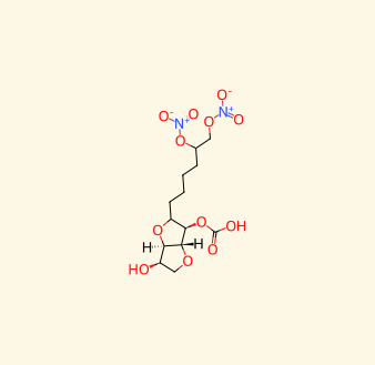 O=C(O)O[C@@H]1C(CCCCC(CO[N+](=O)[O-])O[N+](=O)[O-])O[C@H]2[C@H]1OC[C@H]2O